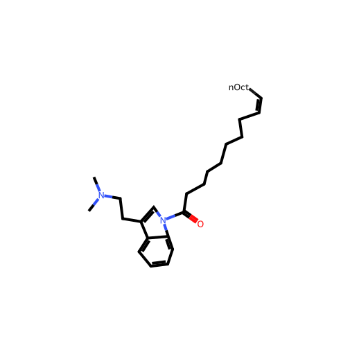 CCCCCCCC/C=C\CCCCCCCC(=O)n1cc(CCN(C)C)c2ccccc21